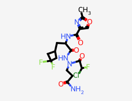 Cc1nc(C(=O)NC(CC2CC(F)(F)C2)C(=O)NN(CCC(N)=O)C(=O)C(F)Cl)co1